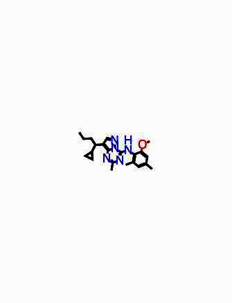 CCCC(c1cnn2c(Nc3c(C)cc(C)cc3OC)nc(C)nc12)C1CC1